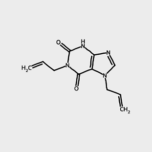 C=CCn1c(=O)[nH]c2ncn(CC=C)c2c1=O